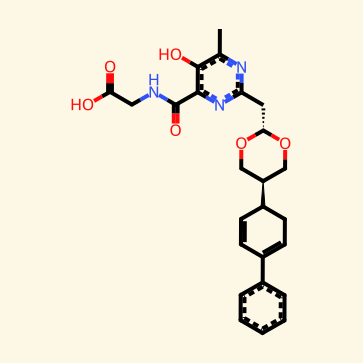 Cc1nc(C[C@H]2OC[C@H](C3C=CC(c4ccccc4)=CC3)CO2)nc(C(=O)NCC(=O)O)c1O